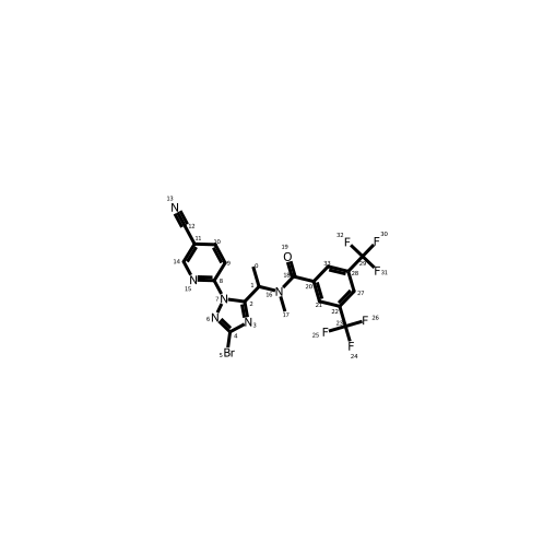 CC(c1nc(Br)nn1-c1ccc(C#N)cn1)N(C)C(=O)c1cc(C(F)(F)F)cc(C(F)(F)F)c1